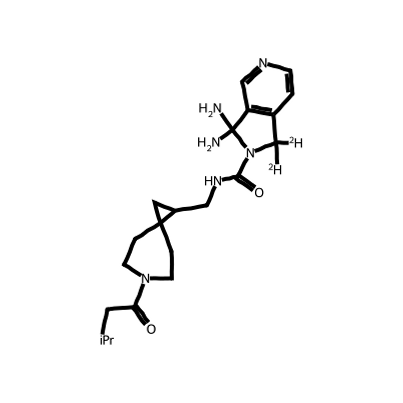 [2H]C1([2H])c2ccncc2C(N)(N)N1C(=O)NCC1CC12CCN(C(=O)CC(C)C)CC2